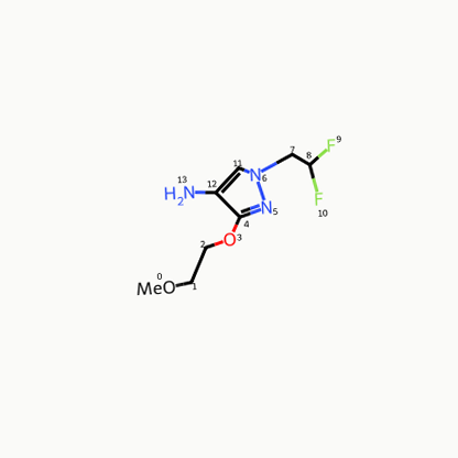 COCCOc1nn(CC(F)F)cc1N